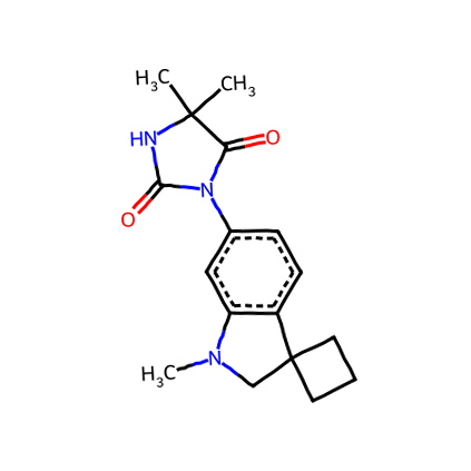 CN1CC2(CCC2)c2ccc(N3C(=O)NC(C)(C)C3=O)cc21